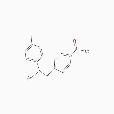 CCC(=O)c1ccc(CC(C(C)=O)c2ccc(C)cc2)cc1